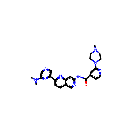 CN1CCN(c2cc(C(=O)Nc3cc4nc(-c5cncc(N(C)C)n5)ccc4cn3)ccn2)CC1